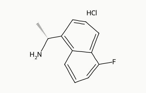 C[C@@H](N)c1cccc2c(F)cccc12.Cl